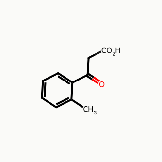 Cc1ccccc1C(=O)CC(=O)O